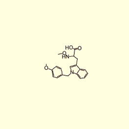 CONC(Cc1cn(Cc2ccc(OC)cc2)c2ccccc12)C(=O)O